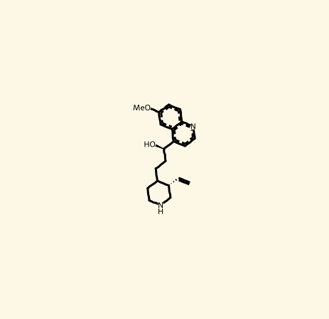 C=C[C@@H]1CNCCC1CC[C@@H](O)c1ccnc2ccc(OC)cc12